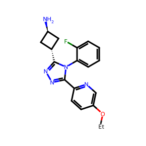 CCOc1ccc(-c2nnc([C@H]3C[C@H](N)C3)n2-c2ccccc2F)nc1